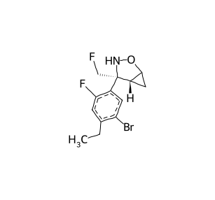 CCc1cc(F)c([C@@]2(CF)NOC3C[C@@H]32)cc1Br